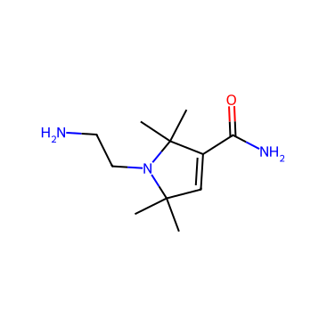 CC1(C)C=C(C(N)=O)C(C)(C)N1CCN